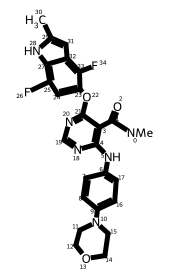 CNC(=O)c1c(Nc2ccc(N3CCOCC3)cc2)ncnc1Oc1cc(F)c2[nH]c(C)cc2c1F